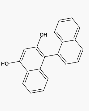 Oc1cc(O)c2ccccc2c1-c1cccc2ccccc12